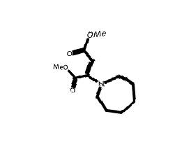 COC(=O)/C=C(\C(=O)OC)N1CCCCCC1